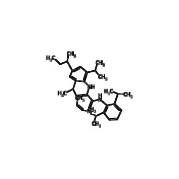 CCC(C)c1cc(C(C)C)c(Nc2cccnc2Nc2c(C(C)C)cccc2C(C)C)c(C(C)C)c1